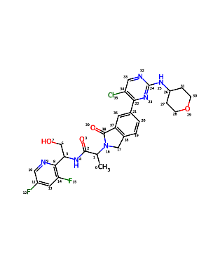 CC(C(=O)NC(CO)c1ncc(F)cc1F)N1Cc2ccc(-c3nc(NC4CCOCC4)ncc3Cl)cc2C1=O